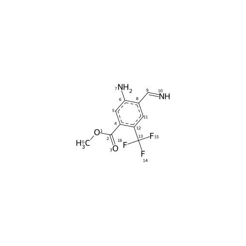 COC(=O)c1cc(N)c(C=N)cc1C(F)(F)F